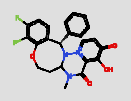 CN1C(=O)c2c(O)c(=O)ccn2N2C1CCOc1c(ccc(F)c1F)[C@@H]2c1ccccc1